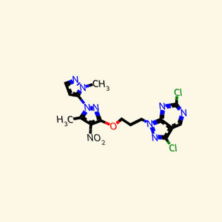 Cc1c([N+](=O)[O-])c(OCCCn2nc(Cl)c3cnc(Cl)nc32)nn1-c1ccnn1C